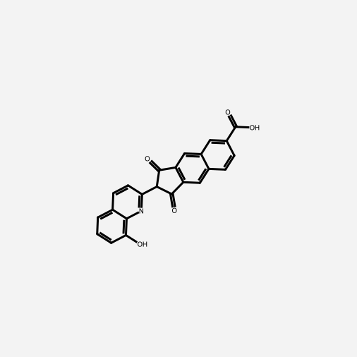 O=C(O)c1ccc2cc3c(cc2c1)C(=O)C(c1ccc2cccc(O)c2n1)C3=O